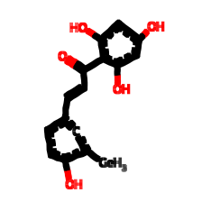 O=C(C=Cc1ccc(O)[c]([GeH3])c1)c1c(O)cc(O)cc1O